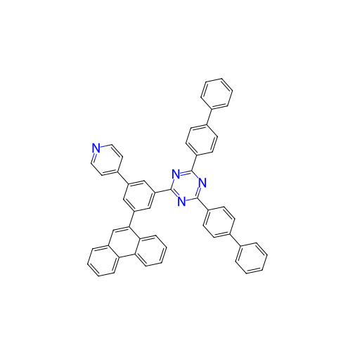 c1ccc(-c2ccc(-c3nc(-c4ccc(-c5ccccc5)cc4)nc(-c4cc(-c5ccncc5)cc(-c5cc6ccccc6c6ccccc56)c4)n3)cc2)cc1